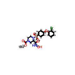 CC(C)(C)OC(=O)N1CCN(S(=O)(=O)c2ccc(Oc3ccccc3Br)cc2)C(C(=O)NO)C1